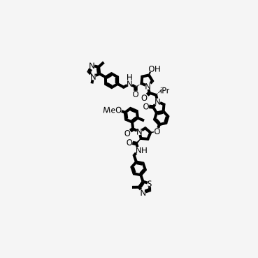 COc1ccc(C)c(C(=O)N2C[C@H](Oc3ccc4c(c3)C(=O)N([C@H](C(=O)N3C[C@H](O)C[C@H]3C(=O)NCc3ccc(-c5c(C)ncn5C)cc3)C(C)C)C4)C[C@H]2C(=O)NCc2ccc(-c3scnc3C)cc2)c1